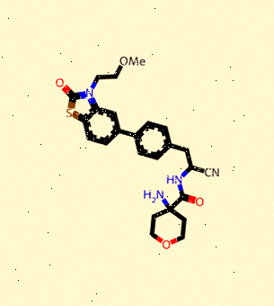 COCCn1c(=O)sc2ccc(-c3ccc(CC(C#N)NC(=O)C4(N)CCOCC4)cc3)cc21